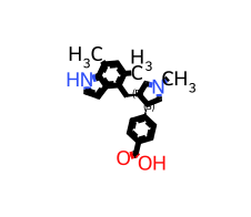 Cc1cc(C)c2[nH]ccc2c1C[C@H]1CN(C)C[C@@H]1c1ccc(C(=O)O)cc1